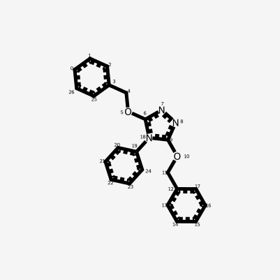 c1ccc(COc2nnc(OCc3ccccc3)n2-c2ccccc2)cc1